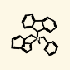 [CH3][Hf]([CH2]c1ccccc1)([CH2]c1ccccc1)([C]1=CC=CC1)[CH]1c2ccccc2-c2ccccc21